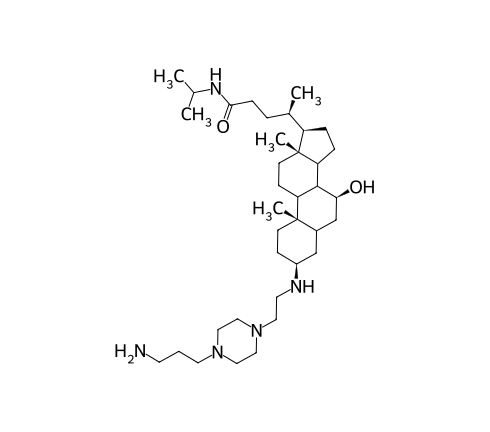 CC(C)NC(=O)CC[C@@H](C)[C@H]1CCC2C3C(CC[C@@]21C)[C@@]1(C)CC[C@H](NCCN2CCN(CCCN)CC2)CC1C[C@@H]3O